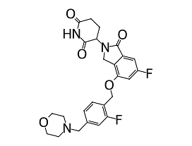 O=C1CCC(N2Cc3c(OCc4ccc(CN5CCOCC5)cc4F)cc(F)cc3C2=O)C(=O)N1